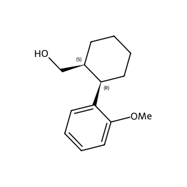 COc1ccccc1[C@@H]1CCCC[C@@H]1CO